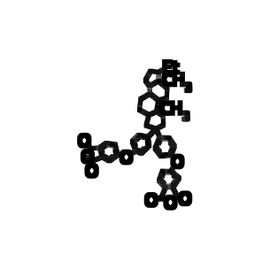 CCC1CCC2C3CCC4CC(c5ccc(Oc6ccc7c(c6)C(=O)OC7=O)cc5)(c5ccc(Oc6ccc7c(c6)C(=O)OC7=O)cc5)CCC4(C)C3CCC12C